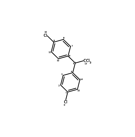 Clc1ccc([C](c2ccc(Cl)cc2)C(Cl)(Cl)Cl)cc1